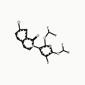 O=c1c2cc(Cl)ccc2ccn1-c1cc(F)c(OC(F)F)nc1OC(F)F